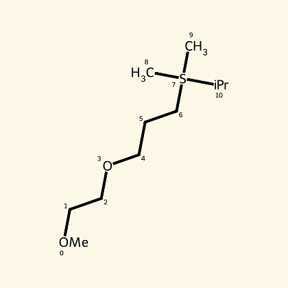 COCCOCCCS(C)(C)C(C)C